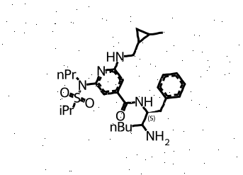 CCCCC(N)[C@H](Cc1ccccc1)NC(=O)c1cc(NCC2CC2C)nc(N(CCC)S(=O)(=O)C(C)C)c1